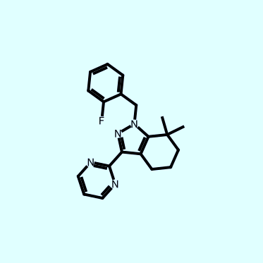 CC1(C)CCCc2c(-c3ncccn3)nn(Cc3ccccc3F)c21